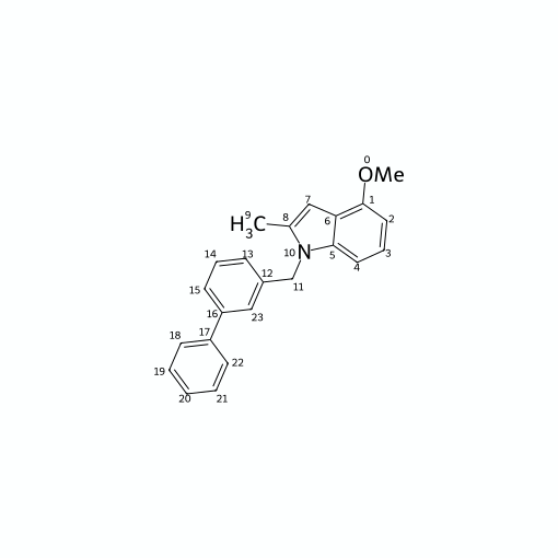 COc1cccc2c1cc(C)n2Cc1cccc(-c2ccccc2)c1